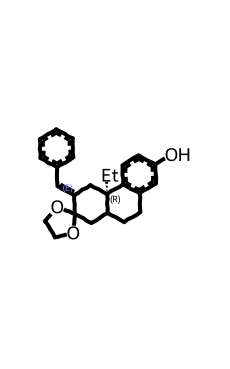 CC[C@@]12C/C(=C\c3ccccc3)C3(CC1CCc1cc(O)ccc12)OCCO3